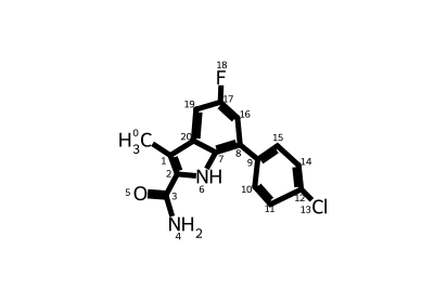 Cc1c(C(N)=O)[nH]c2c(-c3ccc(Cl)cc3)cc(F)cc12